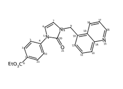 CCOC(=O)c1ccc(-n2ccn(Cc3cccc4ncccc34)c2=O)cc1